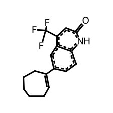 O=c1cc(C(F)(F)F)c2cc(C3=CCCCCC3)ccc2[nH]1